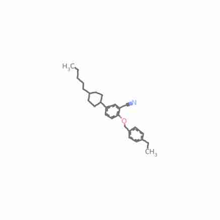 CCCCCC1CCC(c2ccc(OCc3ccc(CC)cc3)c(C#N)c2)CC1